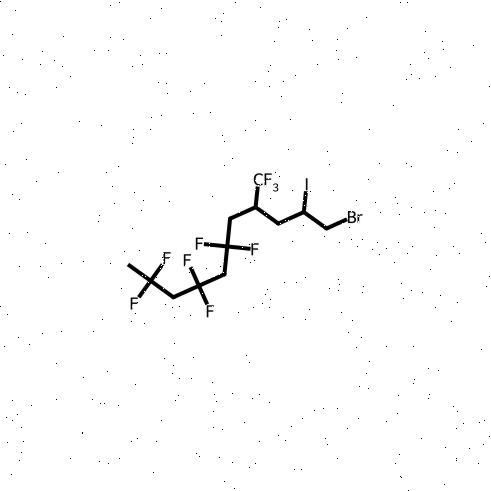 CC(F)(F)CC(F)(F)CC(F)(F)CC(CC(I)CBr)C(F)(F)F